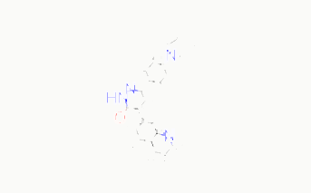 O=c1[nH]nc(-c2ccc(N3C=CCC3)cc2)cc1-c1ccc2cccnc2c1